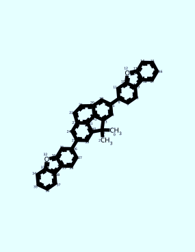 CC1(C)c2cc(-c3ccc4c(c3)oc3ccccc34)cc3ccc4cc(-c5ccc6c(c5)oc5ccccc56)cc1c4c23